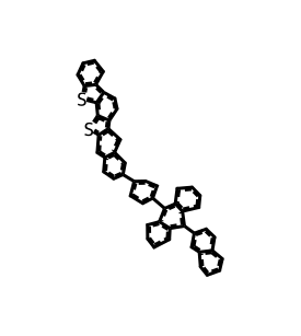 c1ccc2cc(-c3c4ccccc4c(-c4ccc(-c5ccc6cc7sc8c(ccc9c%10ccccc%10sc98)c7cc6c5)cc4)c4ccccc34)ccc2c1